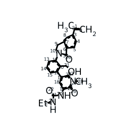 C=C(C)c1ccc2c(c1)CCN(c1cccc(-c3cc(NC(=O)NCC)c(=O)n(C)c3)c1CO)C2=O